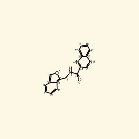 O=C(NCc1occ2ccccc12)c1cnc2ccccc2n1